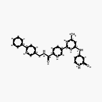 Cc1cc(Nc2cc[nH]c(=O)c2)nc(-c2ccc(C(=O)NCc3ccc(-c4ccccc4)nc3)nc2)n1